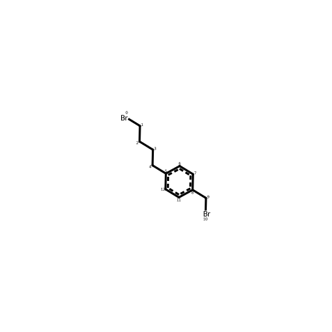 BrCCCCc1ccc(CBr)cc1